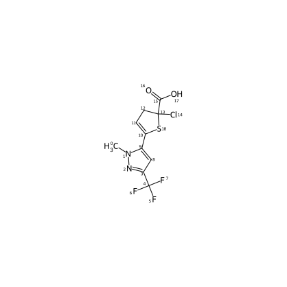 Cn1nc(C(F)(F)F)cc1C1=CCC(Cl)(C(=O)O)S1